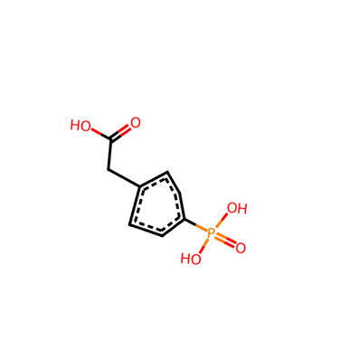 O=C(O)Cc1ccc(P(=O)(O)O)cc1